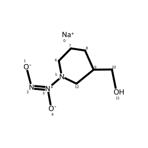 [Na+].[O-]/N=[N+](/[O-])N1CCCC(CO)C1